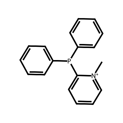 C[n+]1ccccc1P(c1ccccc1)c1ccccc1